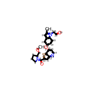 COCC1CCCN1C(=O)c1cc2nccc(Oc3ccc4c(c3)cc(C)n4CC=O)c2s1